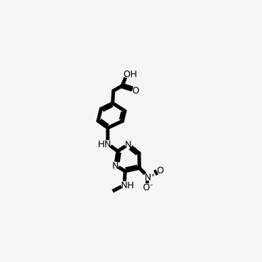 CNc1nc(Nc2ccc(CC(=O)O)cc2)ncc1[N+](=O)[O-]